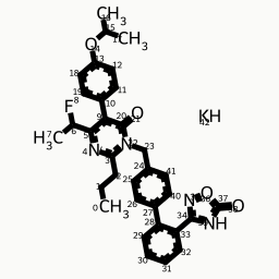 CCCc1nc(C(C)F)c(-c2ccc(OC(C)C)cc2)c(=O)n1Cc1ccc(-c2ccccc2-c2noc(=O)[nH]2)cc1.[KH]